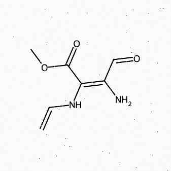 C=CN/C(C(=O)OC)=C(\N)C=O